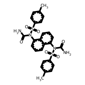 Cc1ccc(S(=O)(=O)N(C(N)=O)c2cccc3c(N(C(N)=O)S(=O)(=O)c4ccc(C)cc4)cccc23)cc1